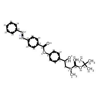 CN(CC(O)c1ccc(OC(=O)c2ccc(/N=N/c3ccccc3)cc2)cc1)C(=O)OC(C)(C)C